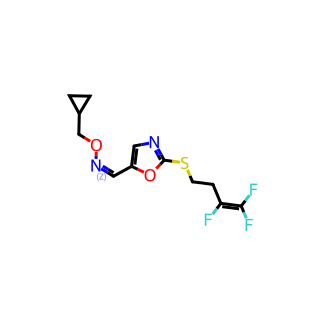 FC(F)=C(F)CCSc1ncc(/C=N\OCC2CC2)o1